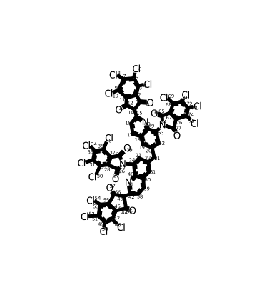 O=C1c2c(Cl)c(Cl)c(Cl)c(Cl)c2C(=O)C1c1ccc2cc(Cc3cc(N4C(=O)c5c(Cl)c(Cl)c(Cl)c(Cl)c5C4=O)c4nc(C5C(=O)c6c(Cl)c(Cl)c(Cl)c(Cl)c6C5=O)ccc4c3)cc(N3C(=O)c4c(Cl)c(Cl)c(Cl)c(Cl)c4C3=O)c2n1